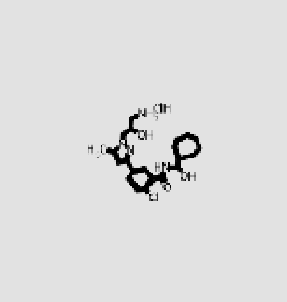 Cc1cc(-c2ccc(Cl)c(C(=O)NC(O)C3CCCCCC3)c2)nn1CC(O)CN.Cl